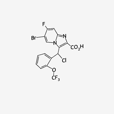 O=C(O)c1nc2cc(F)c(Br)cn2c1C(Cl)c1ccccc1OC(F)(F)F